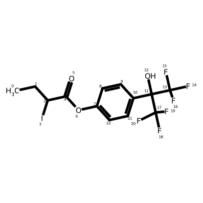 CCC(I)C(=O)Oc1ccc(C(O)(C(F)(F)F)C(F)(F)F)cc1